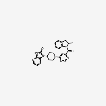 CC1Cc2ccccc2N1C(=O)c1cc(N2CCC(n3c(=O)[nH]c4ncccc43)CC2)ncn1